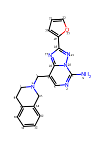 Nc1ncc(CN2CCc3ccccc3C2)c2nc(-c3ccco3)nn12